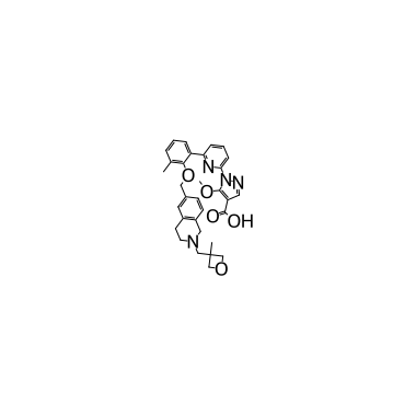 COc1c(C(=O)O)cnn1-c1cccc(-c2cccc(C)c2OCc2ccc3c(c2)CCN(CC2(C)COC2)C3)n1